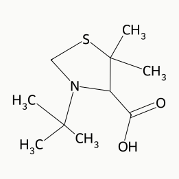 CC1(C)SCN(C(C)(C)C)C1C(=O)O